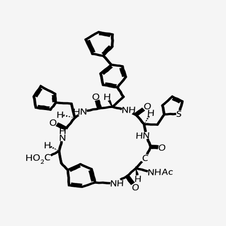 CC(=O)N[C@H]1CC(=O)N[C@H](CC2CC=CS2)C(=O)N[C@@H](Cc2ccc(-c3ccccc3)cc2)C(=O)N[C@H](Cc2ccccc2)C(=O)N[C@H](C(=O)O)Cc2ccc(cc2)NC1=O